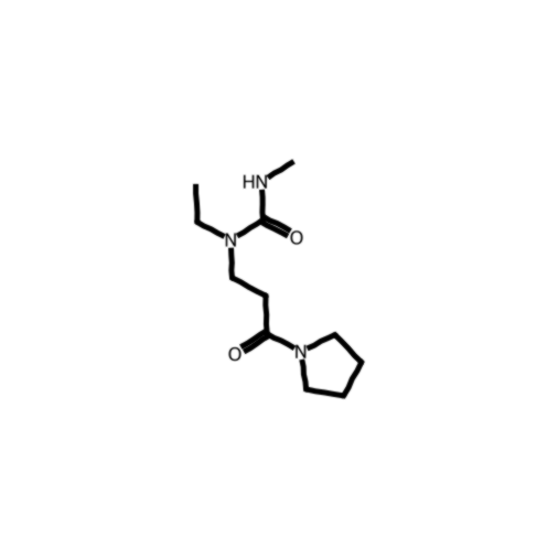 CCN(CCC(=O)N1CCCC1)C(=O)NC